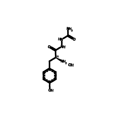 Cl.NC(=O)NNC(=O)[C@@H](N)Cc1ccc(O)cc1